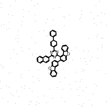 C1=CC(c2ccccc2)CC=C1c1nc(-c2ccc3ccccc3c2)nc(-c2c(-c3ccc4oc5ccccc5c4c3)ccc3oc4ccccc4c23)n1